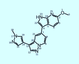 COc1ccc2c(-c3ccn4ncc(-c5cnn(C)c5)c4c3)c[nH]c2n1